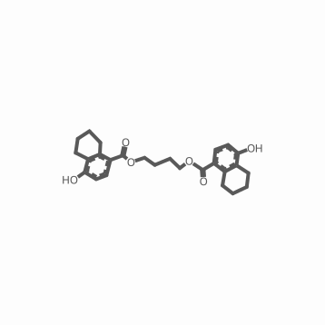 O=C(OCCCCOC(=O)c1ccc(O)c2c1CCCC2)c1ccc(O)c2c1CCCC2